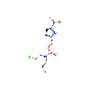 Cn1c([N+](=O)[O-])cnc1COC(=O)N(CCCl)CCCl